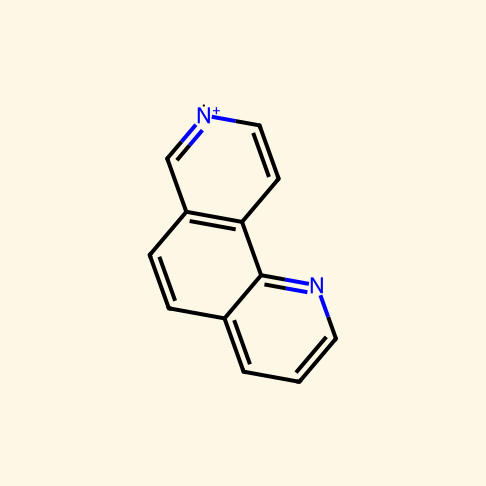 C1=Cc2c(ccc3cccnc23)C=[N+]1